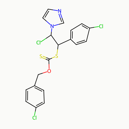 S=C(OCc1ccc(Cl)cc1)SC(c1ccc(Cl)cc1)C(Cl)n1ccnc1